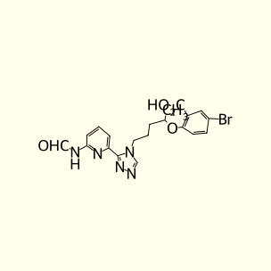 CC(CCCn1cnnc1-c1cccc(NC=O)n1)Oc1ccc(Br)cc1C(=O)O